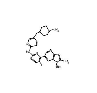 Cc1nc2ncc(-c3nc(Nc4ccc(CN5CCN(C)CC5)cn4)ncc3F)cc2n1C(C)(C)C